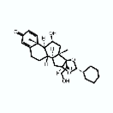 C[C@]12C=CC(=O)C=C1CC[C@@H]1[C@@H]2[C@@H](O)C[C@@]2(C)[C@H]1C[C@@H]1O[C@@H](C3CCCCC3)O[C@]12C(=O)CO